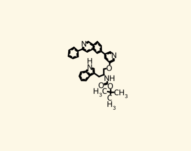 CC(C)(C)OC(=O)NC(COc1cncc(-c2ccc3cnc(-c4ccccc4)cc3c2)c1)Cc1c[nH]c2ccccc12